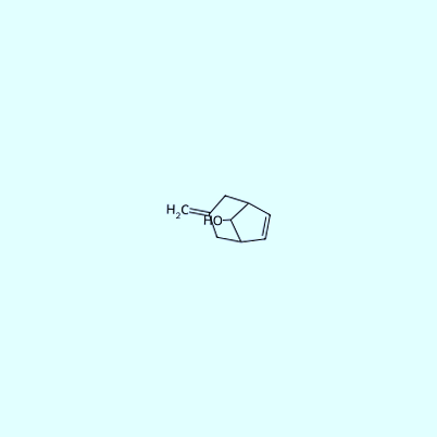 C=C1CC2C=CC(C1)C2O